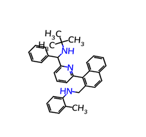 Cc1ccccc1NCc1ccc2ccccc2c1-c1cccc(C(NC(C)(C)C)c2ccccc2)n1